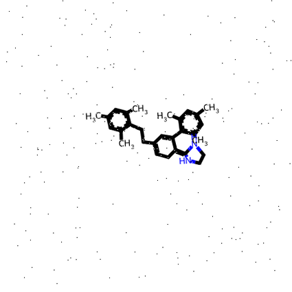 Cc1cc(C)c([C]CC2=CCC(=C3NCCN3)C(c3c(C)cc(C)cc3C)=C2)c(C)c1